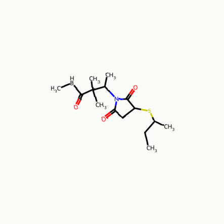 CBC(=O)C(C)(C)C(C)N1C(=O)CC(SC(C)CC)C1=O